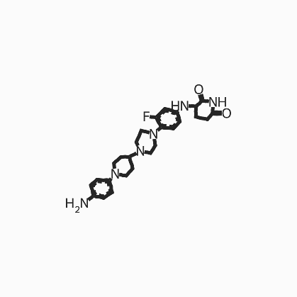 Nc1ccc(N2CCC(N3CCN(c4ccc(NC5CCC(=O)NC5=O)cc4F)CC3)CC2)cc1